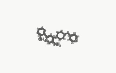 Nc1nnc(-c2ccccc2O)cc1N1CCN(Cc2ccncc2)CC1